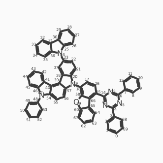 c1ccc(-c2nc(-c3ccccc3)nc(-c3ccc(-n4c5ccc(-n6c7ccccc7c7ccccc76)cc5c5c6c7ccccc7n(-c7ccccc7)c6ccc54)c4oc5ccccc5c34)n2)cc1